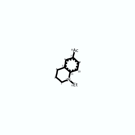 CCN1CCCc2cc(C(C)=O)ccc21